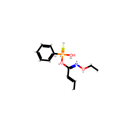 C/C=C/C(=NOCC)OP(O)(=S)c1ccccc1